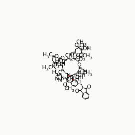 CC[C@H]1OC(=O)[C@H](C)[C@@H](O[C@H]2C[C@@](C)(OC)[C@@H](O)[C@H](C)O2)[C@H](C)[C@@H](O[C@@H]2O[C@H](C)C[C@H](N(C)CCc3cn([C@H](CF)[C@H](OC)c4ccc(CC5C(=O)c6ccccc6C5=O)cc4)nn3)[C@H]2O)[C@](C)(O)C[C@@H](C)CN(C)[C@H](C)[C@@H](O)[C@]1(C)O